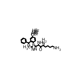 Br.Br.Br.Cc1nnc(C(N)C(=O)[C@@H](N)CCCCN)n1-c1ccc(Cl)cc1C(=O)c1ccccc1